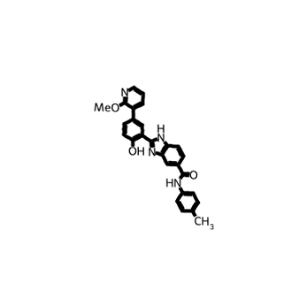 COc1ncccc1-c1ccc(O)c(-c2nc3cc(C(=O)Nc4ccc(C)cc4)ccc3[nH]2)c1